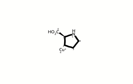 O=C(O)[C@@H]1CCCN1.[Cu+]